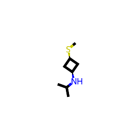 CS[C@H]1C[C@@H](NC(C)C)C1